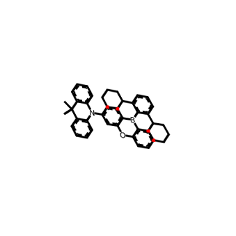 CC1(C)c2ccccc2N(c2ccc3c(c2)Oc2ccccc2B3c2c(C3CCCCC3)cccc2C2CCCCC2)c2ccccc21